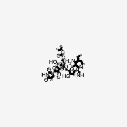 CCC1=C(N)C(C)=C(N(C=N)[C@H]2CC(O)[C@@H](COP(=O)(OC3C(OC)[C@H](n4ccc(=O)[nH]c4=O)O[C@@H]3CO)SCOC(=O)OC(C)C)O2)N=CC1